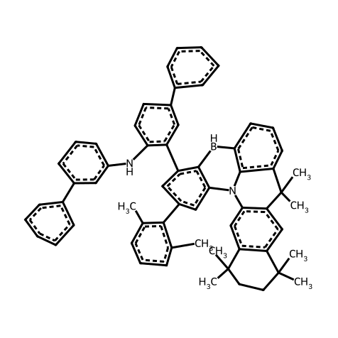 Cc1cccc(C)c1-c1cc(-c2cc(-c3ccccc3)ccc2Nc2cccc(-c3ccccc3)c2)c2c(c1)N1c3cc4c(cc3C(C)(C)c3cccc(c31)B2)C(C)(C)CCC4(C)C